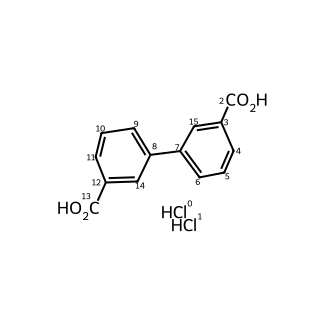 Cl.Cl.O=C(O)c1cccc(-c2cccc(C(=O)O)c2)c1